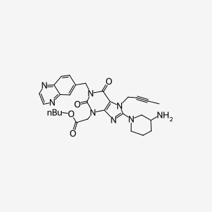 CC#CCn1c(N2CCCC(N)C2)nc2c1c(=O)n(Cc1ccc3nccnc3c1)c(=O)n2CC(=O)OCCCC